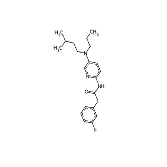 CCCN(CCC(C)C)c1ccc(NC(=O)Cc2cccc(F)c2)nc1